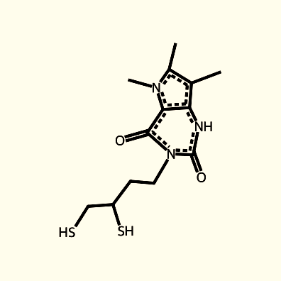 Cc1c(C)n(C)c2c(=O)n(CCC(S)CS)c(=O)[nH]c12